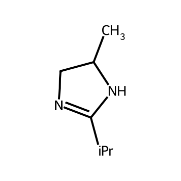 CC1CN=C(C(C)C)N1